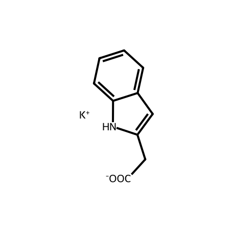 O=C([O-])Cc1cc2ccccc2[nH]1.[K+]